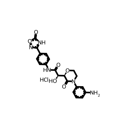 Cl.Nc1cccc(N2CCO[C@H]([C@@H](O)C(=O)Nc3ccc(-c4noc(=O)[nH]4)cc3)C2=O)c1